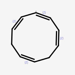 [C]1=C\C=C/C/C=C\C\C=C/1